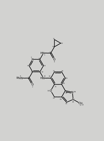 CNC(=O)c1cnc(NC(=O)C2CC2)cc1Nc1cccc2c1OCc1cn(C)nc1-2